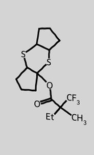 CCC(C)(C(=O)OC12CCCC1SC1CCCC1S2)C(F)(F)F